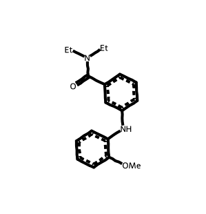 CCN(CC)C(=O)c1cccc(Nc2ccccc2OC)c1